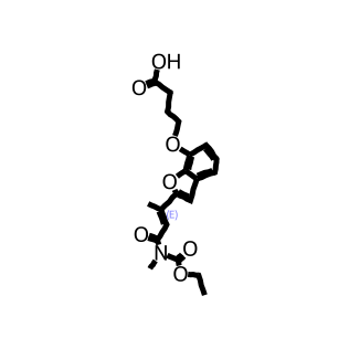 CCOC(=O)N(C)C(=O)/C=C(\C)c1cc2cccc(OCCCC(=O)O)c2o1